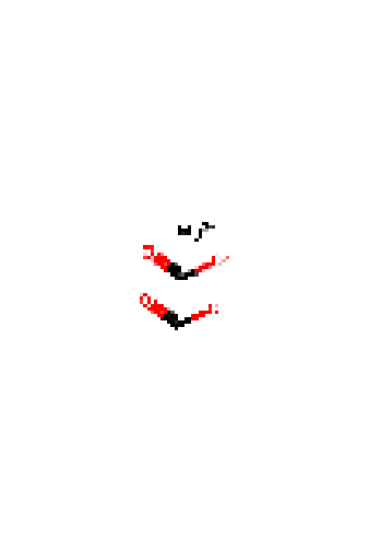 O=C[O-].O=C[O-].[Mg+2]